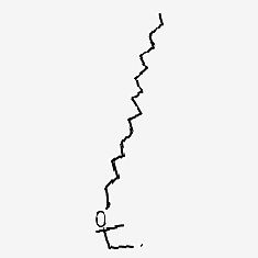 [CH2]CC(C)(C)OCCCCCCCCCCCCCCCCCC